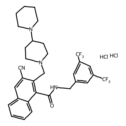 Cl.Cl.N#Cc1cc2ccccc2c(C(=O)NCc2cc(C(F)(F)F)cc(C(F)(F)F)c2)c1CN1CCC(N2CCCCC2)CC1